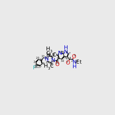 CCNC(=O)C(=O)c1c[nH]c2nc(C)c(C(=O)N3C[C@H](C)N(Cc4ccc(F)cc4)C[C@H]3C)cc12